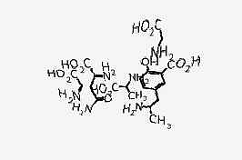 C[C@@H](N)Cc1ccc(O)c(C(=O)O)c1.C[C@H](N)C(=O)O.NC(=O)C[C@H](N)C(=O)O.NCC(=O)O.NCC(=O)O